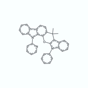 CC1(C)c2ccc3c4ccccc4n(-c4ccccn4)c3c2Oc2c1c1ccccc1n2-c1ccccc1